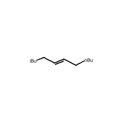 CCCCCC=CCC(C)CC